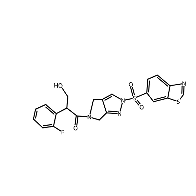 O=C(C(CO)c1ccccc1F)N1Cc2cn(S(=O)(=O)c3ccc4ncsc4c3)nc2C1